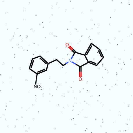 O=C1c2ccccc2C(=O)N1CCc1cccc([N+](=O)[O-])c1